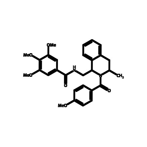 COc1ccc(C(=O)N2C(C)Cc3ccccc3C2CNC(=O)c2cc(OC)c(OC)c(OC)c2)cc1